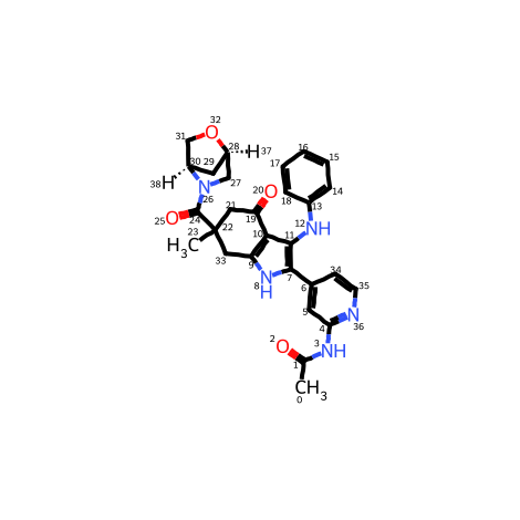 CC(=O)Nc1cc(-c2[nH]c3c(c2Nc2ccccc2)C(=O)CC(C)(C(=O)N2C[C@H]4C[C@@H]2CO4)C3)ccn1